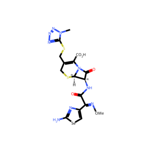 CON=C(C(=O)N[C@@H]1C(=O)N2C(C(=O)O)=C(CSc3nnnn3C)CS[C@H]12)c1c[se]c(N)n1